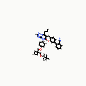 CCCc1c(Cc2ccc(-c3ccccc3C#N)cc2)c(=O)n([C@H]2CC[C@H](OCC3(CO[Si](C)(C)C(C)(C)C)CCC3)CC2)c2ncnn12